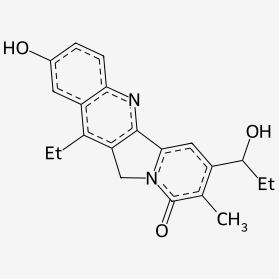 CCc1c2c(nc3ccc(O)cc13)-c1cc(C(O)CC)c(C)c(=O)n1C2